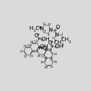 CCN(CC)C(=O)N1CCN(C)CC1.O=C(O)c1cc2ccccc2c(Cc2c(O)c(C(=O)O)cc3ccccc23)c1O